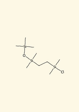 C[Si](C)(Cl)CC[Si](C)(C)O[Si](C)(C)C